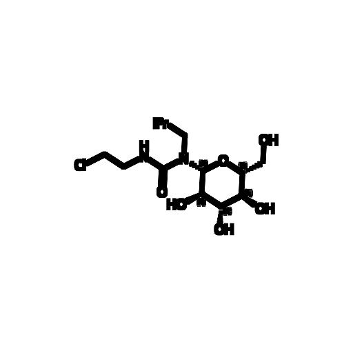 CC(C)CN(C(=O)NCCCl)[C@@H]1O[C@H](CO)[C@@H](O)[C@H](O)[C@H]1O